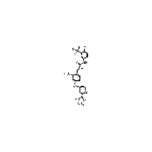 CNC(=O)c1cc(Oc2ccc(CNC(=O)Nc3ccc(Cl)c(C(F)(F)F)c3)c(C)c2)ccn1